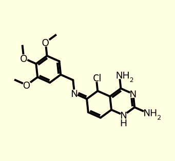 COc1cc(CN=C2C=CC3NC(N)=NC(N)=C3C2Cl)cc(OC)c1OC